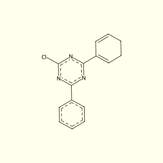 Clc1nc(C2=CCCC=C2)nc(-c2ccccc2)n1